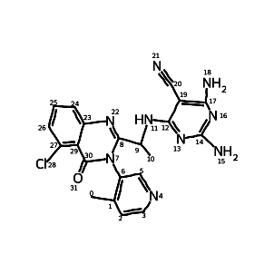 Cc1ccncc1-n1c(C(C)Nc2nc(N)nc(N)c2C#N)nc2cccc(Cl)c2c1=O